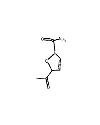 CC(=O)C1C=CN(C(N)=O)O1